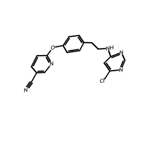 N#Cc1ccc(Oc2ccc(CCNc3cc(Cl)ncn3)cc2)nc1